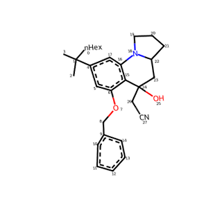 CCCCCCC(C)(C)c1cc(OCc2ccccc2)c2c(c1)N1CCCC1CC2(O)CC#N